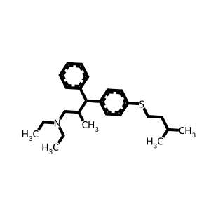 CCN(CC)CC(C)C(c1ccccc1)c1ccc(SCCC(C)C)cc1